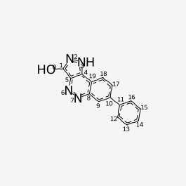 Oc1n[nH]c2c1nnc1cc(-c3ccccc3)ccc12